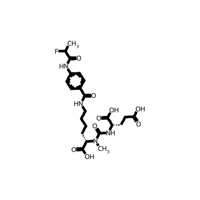 CC(F)C(=O)Nc1ccc(C(=O)NCCCC[C@@H](C(=O)O)N(C)C(=O)N[C@@H](CCC(=O)O)C(=O)O)cc1